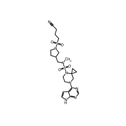 CN(CC1CCN(S(=O)(=O)CCCC#N)C1)S(=O)(=O)N1CCN(c2ncnc3[nH]ccc23)CC12CC2